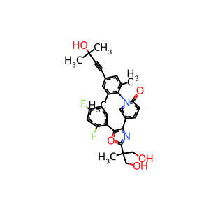 Cc1cc(C#CC(C)(C)O)cc(C)c1-n1cc(-c2nc(C(C)(CO)CO)oc2-c2ccc(F)cc2F)ccc1=O